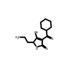 CCCC1NC(=O)C(C(=O)C2CCCCC2)=C1O